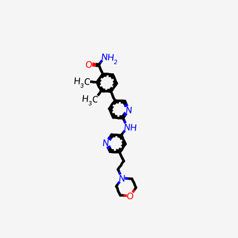 Cc1c(C(N)=O)ccc(-c2ccc(Nc3cncc(CCN4CCOCC4)c3)nc2)c1C